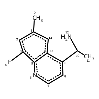 Cc1cc(F)c2nccc(C(C)N)c2c1